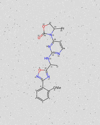 COc1ccccc1-c1noc(C(C)Nc2nccc(N3C(=O)OCC3C(C)C)n2)n1